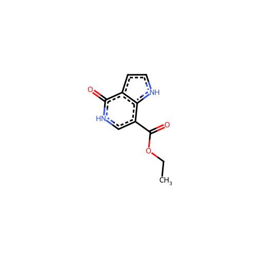 CCOC(=O)c1c[nH]c(=O)c2cc[nH]c12